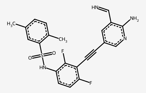 Cc1ccc(C)c(S(=O)(=O)Nc2ccc(F)c(C#Cc3cnc(N)c(C=N)c3)c2F)c1